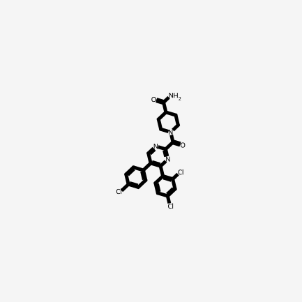 NC(=O)C1CCN(C(=O)c2ncc(-c3ccc(Cl)cc3)c(-c3ccc(Cl)cc3Cl)n2)CC1